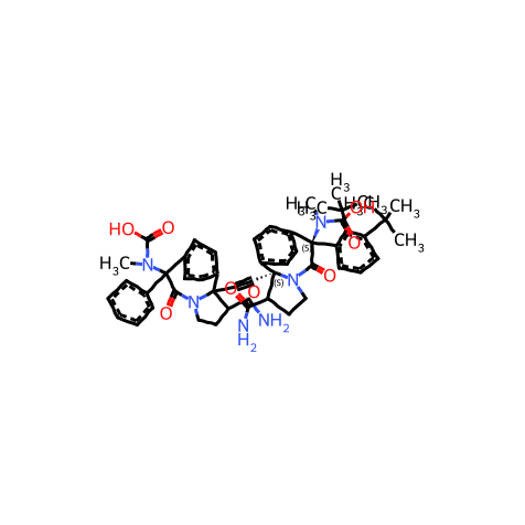 CN(C(=O)O)C1(c2ccccc2)C(=O)N2CCC(C(N)=O)C2(C#C[C@]23c4ccc(cc4)[C@@](c4cccc(C(C)(C)C)c4C(C)(C)C)(N(C)C(=O)O)C(=O)N2CCC3C(N)=O)c2ccc1cc2